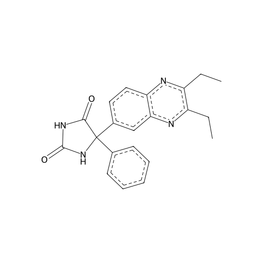 CCc1nc2ccc(C3(c4ccccc4)NC(=O)NC3=O)cc2nc1CC